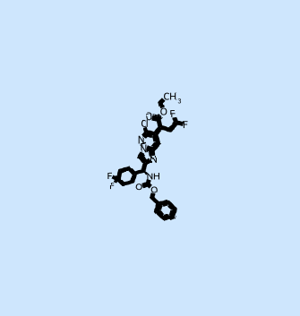 CCOC(=O)C(CC(F)F)c1cc2nc([C@@H](NC(=O)OCc3ccccc3)C3CCC(F)(F)CC3)cn2nc1Cl